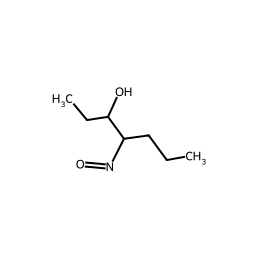 CCCC(N=O)C(O)CC